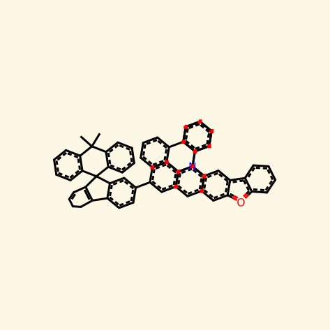 CC1(C)c2ccccc2C2(C3=C(CCC=C3)c3ccc(-c4ccc(N(c5ccc6oc7ccccc7c6c5)c5ccccc5-c5ccccc5-c5ccccc5-c5ccccc5)cc4)cc32)c2ccccc21